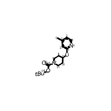 Cc1ccnc(OC2CCN(C(=O)OC(C)(C)C)CC2)c1